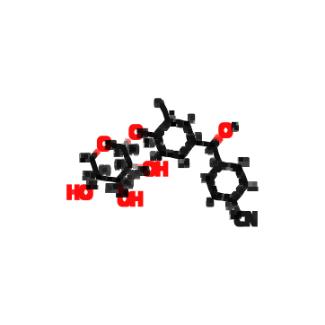 Cc1cc(C(=O)c2ccc(C#N)cc2)ccc1O[C@H]1OC[C@@H](O)[C@H](O)[C@H]1O